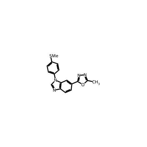 CSc1ccc(-n2cnc3ccc(-c4nnc(C)o4)cc32)cc1